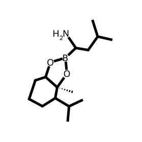 CC(C)CC(N)B1OC2CCCC(C(C)C)[C@]2(C)O1